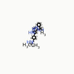 CC(C)NCc1ccc(-c2cc3c(N[C@H](C)c4ccccc4)ncnc3[nH]2)cc1